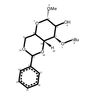 CCCCO[C@@H]1C(O)[C@@H](OC)OC2COC(c3ccccc3)O[C@H]21